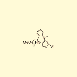 COC(=O)CC1Nc2ccc(Br)cc2N(C)c2ccccc21